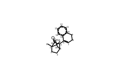 CC12CCC(C(C3=CCCc4ccccc43)C1=O)C2(C)C